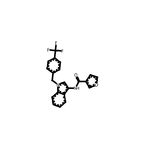 O=C(Nc1cn(Cc2ccc(C(F)(F)F)cc2)c2ccccc12)c1ccoc1